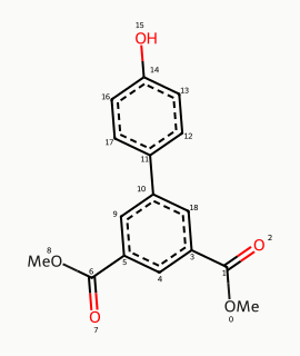 COC(=O)c1cc(C(=O)OC)cc(-c2ccc(O)cc2)c1